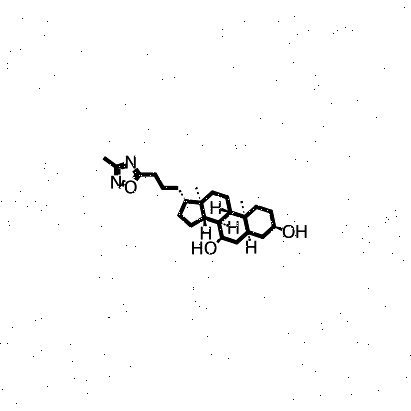 Cc1noc(CCC[C@H]2CC[C@H]3[C@@H]4[C@H](O)C[C@@H]5C[C@H](O)CC[C@]5(C)[C@H]4CC[C@]23C)n1